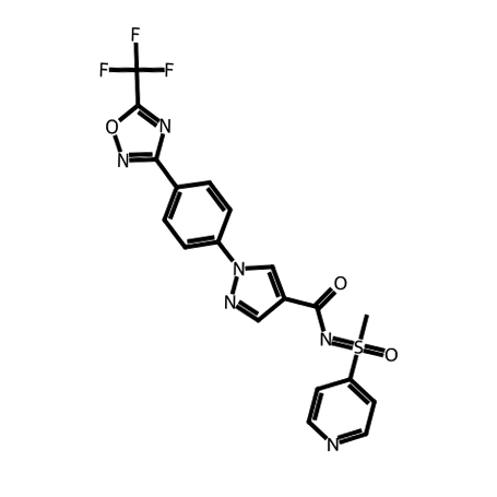 CS(=O)(=NC(=O)c1cnn(-c2ccc(-c3noc(C(F)(F)F)n3)cc2)c1)c1ccncc1